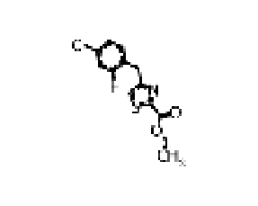 CCOC(=O)c1nc(Cc2ccc(Cl)cc2F)cs1